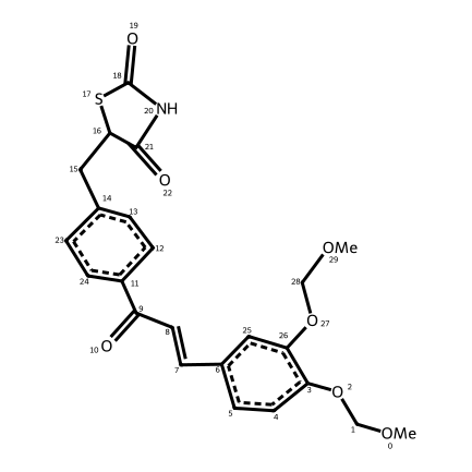 COCOc1ccc(/C=C/C(=O)c2ccc(CC3SC(=O)NC3=O)cc2)cc1OCOC